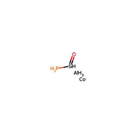 O=[SiH]P.[AlH3].[Co]